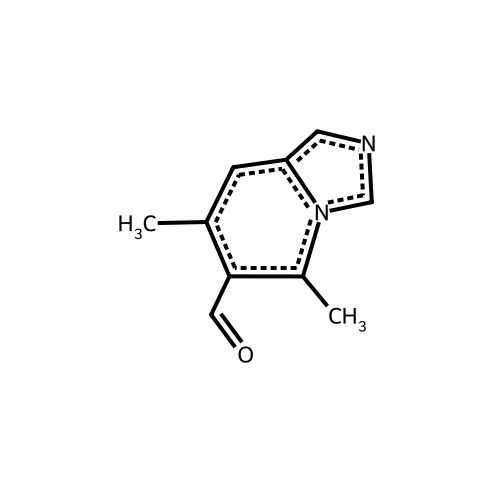 Cc1cc2cncn2c(C)c1C=O